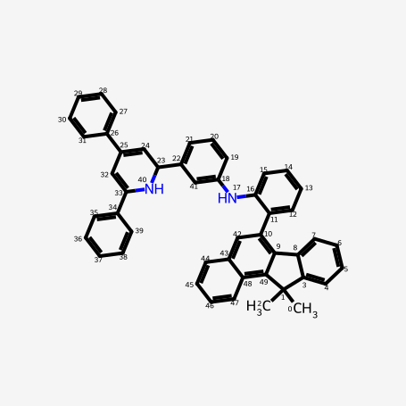 CC1(C)c2ccccc2-c2c(-c3ccccc3Nc3cccc(C4C=C(c5ccccc5)C=C(c5ccccc5)N4)c3)cc3ccccc3c21